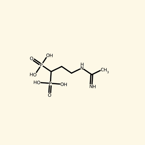 CC(=N)NCCC(P(=O)(O)O)P(=O)(O)O